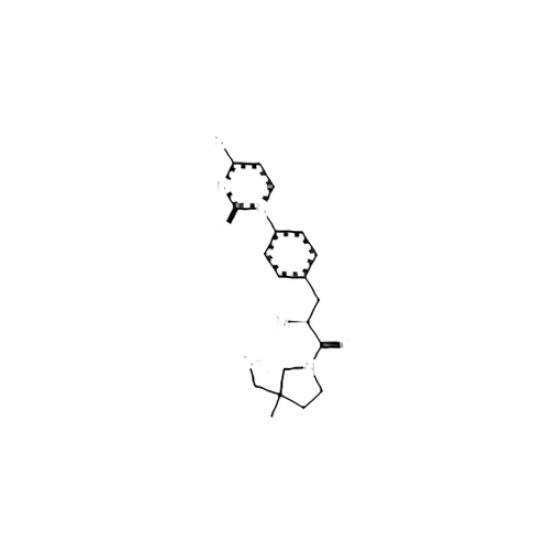 CC1(CN)CCN(C(=O)[C@@H](N)Cc2ccc(-n3ccc(N)nc3=O)cc2)C1